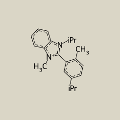 Cc1ccc(C(C)C)cc1-c1n(C(C)C)c2ccccc2[n+]1C